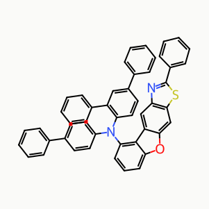 c1ccc(-c2ccc(N(c3ccc(-c4ccccc4)cc3-c3ccccc3)c3cccc4oc5cc6sc(-c7ccccc7)nc6cc5c34)cc2)cc1